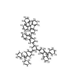 c1ccc(N(c2ccccc2)c2ccc(-c3cc(-c4ccc5c(c4)c4ccccc4n5-c4ccccc4)cc(-c4ccc5c(c4)c4ccccc4n5-c4ccc5c(c4)C(c4ccccc4)(c4ccccc4)c4ccccc4-5)c3)cc2)cc1